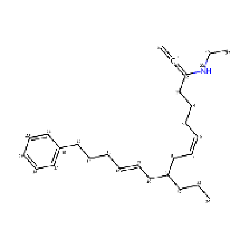 C=C=C(CCC/C=C\CC(C/C=C/CCCc1ccccc1)CCC)NCC